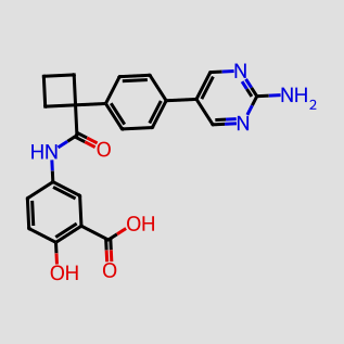 Nc1ncc(-c2ccc(C3(C(=O)Nc4ccc(O)c(C(=O)O)c4)CCC3)cc2)cn1